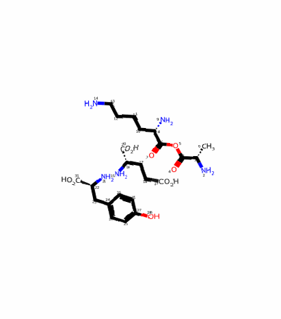 C[C@H](N)C(=O)OC(=O)[C@@H](N)CCCCN.N[C@@H](CCC(=O)O)C(=O)O.N[C@@H](Cc1ccc(O)cc1)C(=O)O